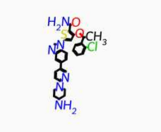 CC(Oc1cc(-n2cnc3cc(-c4ccc(N5CCC(N)CC5)nc4)ccc32)sc1C(N)=O)c1ccccc1Cl